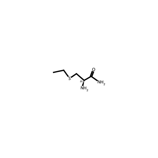 CCSC[C@H](N)C(N)=O